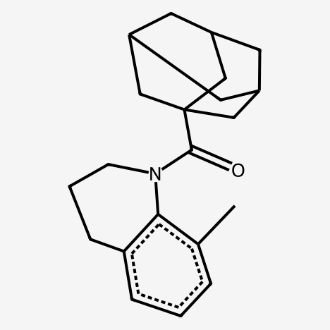 Cc1cccc2c1N(C(=O)C13CC4CC(CC(C4)C1)C3)CCC2